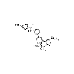 COc1ccc2c(c1)/C(=C/C(=O)c1cccc(NC(=O)c3ccc(C#N)cc3)c1)NC(C)(C)C2